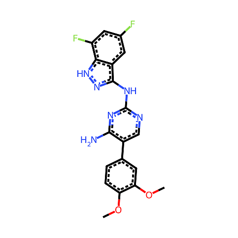 COc1ccc(-c2cnc(Nc3n[nH]c4c(F)cc(F)cc34)nc2N)cc1OC